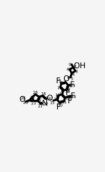 CC1(O)CC(COc2c(F)cc(-c3cc(COc4cc5c(cn4)C4C(C=O)C4C5)c(F)cc3C(F)(F)F)cc2F)C1